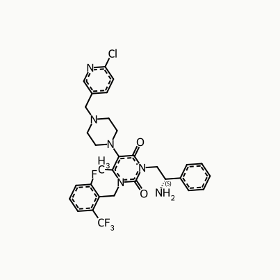 Cc1c(N2CCN(Cc3ccc(Cl)nc3)CC2)c(=O)n(C[C@@H](N)c2ccccc2)c(=O)n1Cc1c(F)cccc1C(F)(F)F